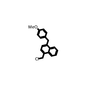 COc1ccc(Cc2ccc(CCl)c3ccccc23)cc1